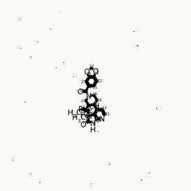 CCC(C)C1(C)C(=O)Nc2nccc(C3CCN(C(=O)c4ccc5c(c4)OCO5)CC3C(F)(F)F)c21